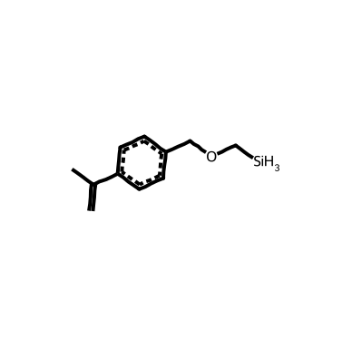 C=C(C)c1ccc(COC[SiH3])cc1